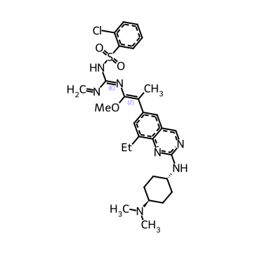 C=N/C(=N\C(OC)=C(/C)c1cc(CC)c2nc(N[C@H]3CC[C@H](N(C)C)CC3)ncc2c1)NS(=O)(=O)c1ccccc1Cl